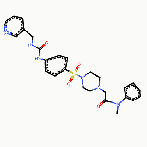 CN(C(=O)CN1CCN(S(=O)(=O)c2ccc(NC(=O)NCc3cccnc3)cc2)CC1)c1ccccc1